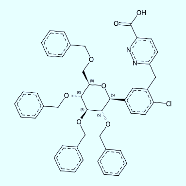 O=C(O)c1ccc(Cc2cc([C@@H]3O[C@H](COCc4ccccc4)[C@@H](OCc4ccccc4)[C@H](OCc4ccccc4)[C@H]3OCc3ccccc3)ccc2Cl)nn1